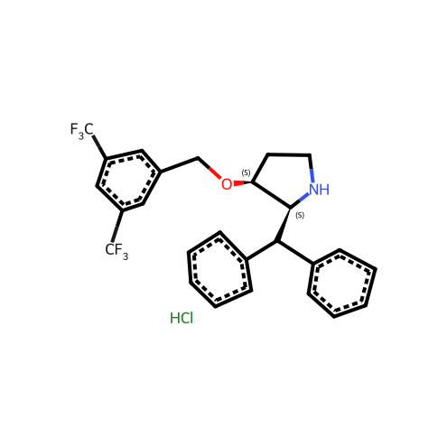 Cl.FC(F)(F)c1cc(CO[C@H]2CCN[C@H]2C(c2ccccc2)c2ccccc2)cc(C(F)(F)F)c1